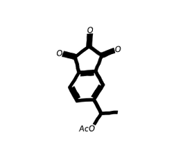 CC(=O)OC(C)c1ccc2c(=O)c(=O)c(=O)c2c1